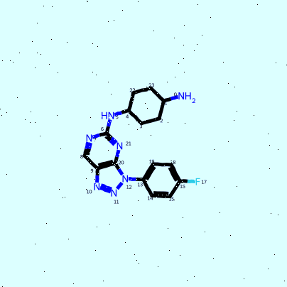 NC1CCC(Nc2ncc3nnn(-c4ccc(F)cc4)c3n2)CC1